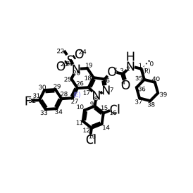 C[C@@H](NC(=O)Oc1nn(-c2ccc(Cl)cc2Cl)c2c1CN(S(C)(=O)=O)C/C2=C\c1ccc(F)cc1)C1CCCCC1